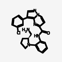 NC[C@H]1CCCN1c1ccccc1NC(=O)c1ccn2ncc(-c3cccc(Cl)c3)c2n1